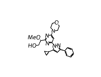 CO[C@@H](CO)c1nc(N2CCOCC2)cc(-n2nc(-c3ccccc3)cc2C2CC2)n1